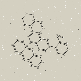 COc1ccccc1-c1ccc2ccc3c4c(ccc3c2c1)CCCC4.c1ccc2cc3ccccc3cc2c1